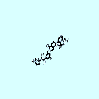 Cn1ccc(NC(=O)c2cc(F)cc(Cn3ccc4cc(-c5cn[nH]c5C(F)(F)F)ccc4c3=O)c2)n1